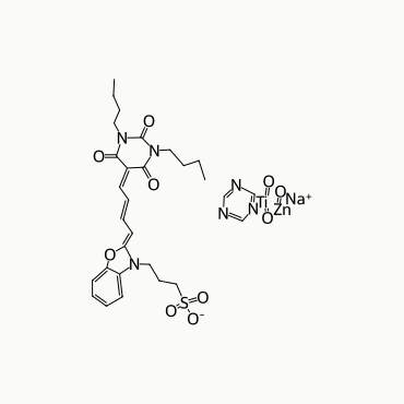 CCCCN1C(=O)C(=C/C=C/C=C2\Oc3ccccc3N2CCCS(=O)(=O)[O-])C(=O)N(CCCC)C1=O.[Na+].[O]=[Ti]=[O].[O]=[Zn].c1ncncn1